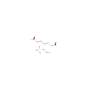 C[N+](C)(C)CCO.O=C(O)CCCCCC(=O)O